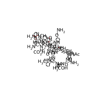 CC(=O)N[C@@H]1C(=O)N[C@@H](CC(N)=O)C(=O)N[C@@H]([C@@H](C)O)C(=O)N[C@@H](Cc2c[nH]c3c(C)cccc23)C(=O)N[C@@H](CCC(N)=O)C(=O)N[C@H](C(=O)N[C@@H](Cc2ccc(OCCN)cc2)C(=O)N[C@@H](Cc2ccc3ccccc3c2)C(=O)NC2(C(=O)N[C@@H](CCC(=O)O)C(=O)N[C@@H](CC(N)=O)C(=O)N[C@@H](Cc3cccnc3)C(=O)N(C)CC(N)=O)CCOCC2)C(C)(C)SSC1(C)C